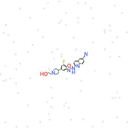 N#Cc1ccc2nc(Nc3nc4cc(C5CCN(CCO)CC5)cc(F)c4o3)ccc2c1